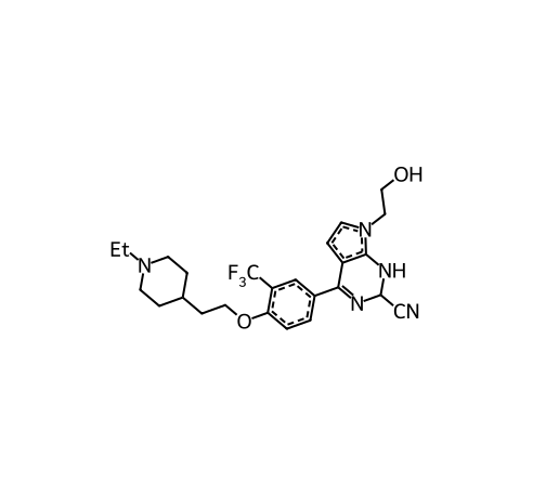 CCN1CCC(CCOc2ccc(C3=NC(C#N)Nc4c3ccn4CCO)cc2C(F)(F)F)CC1